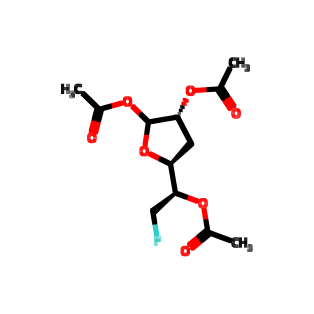 CC(=O)OC1O[C@H]([C@H](CF)OC(C)=O)C[C@H]1OC(C)=O